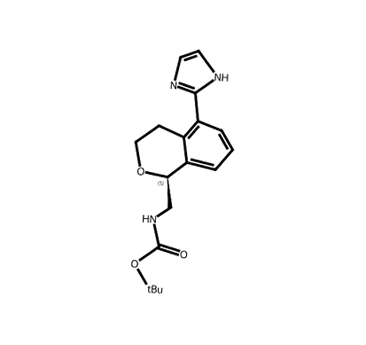 CC(C)(C)OC(=O)NC[C@H]1OCCc2c(-c3ncc[nH]3)cccc21